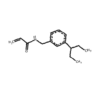 C=CC(=O)NCc1cccc(C(CC)CC)c1